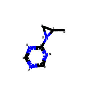 CC1CN1c1ncncn1